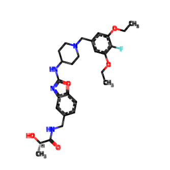 CCOc1cc(CN2CCC(Nc3nc4cc(CNC(=O)[C@H](C)O)ccc4o3)CC2)cc(OCC)c1F